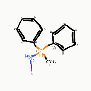 C[PH](NI)(c1ccccc1)c1ccccc1